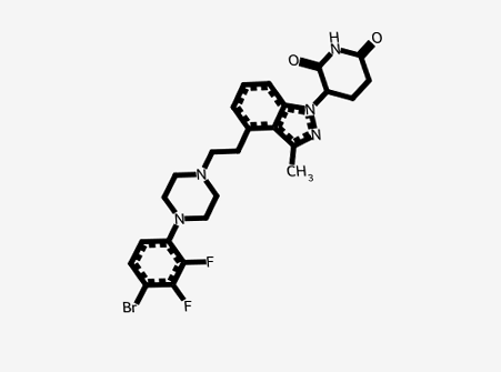 Cc1nn(C2CCC(=O)NC2=O)c2cccc(CCN3CCN(c4ccc(Br)c(F)c4F)CC3)c12